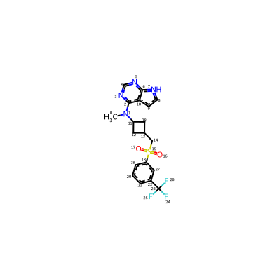 CN(c1ncnc2[nH]ccc12)C1CC(CS(=O)(=O)c2cccc(C(F)(F)F)c2)C1